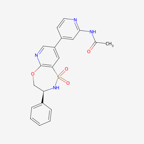 CC(=O)Nc1cc(-c2cnc3c(c2)S(=O)(=O)N[C@@H](c2ccccc2)CO3)ccn1